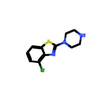 Clc1cccc2sc(N3CCNCC3)nc12